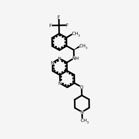 Cc1c([C@@H](C)Nc2nncc3ncc(OC4CCN(C)CC4)cc23)cccc1C(F)(F)F